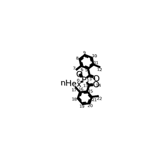 CCCCCCP(=O)(C(=O)c1c(C)cccc1C)C(=O)c1c(C)cccc1C